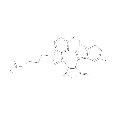 N=C(N)SCCCn1cc(C2=C(c3c[nH]c4ccc(Br)cc34)C(=O)NC2=O)c2cc(Br)ccc21